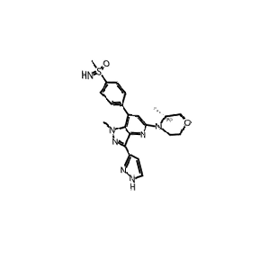 C[C@@H]1COCCN1c1cc(-c2ccc(S(C)(=N)=O)cc2)c2c(n1)c(-c1cc[nH]n1)nn2C